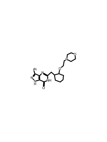 CC(C)c1n[nH]c2c(=O)[nH]c(CC3CCCCC3OCCN3CCOCC3)nc12